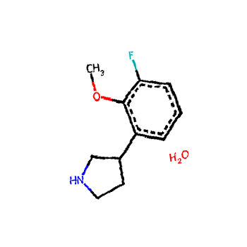 COc1c(F)cccc1C1CCNC1.O